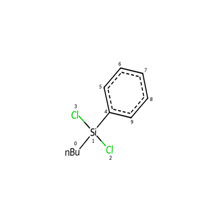 CCCC[Si](Cl)(Cl)c1ccccc1